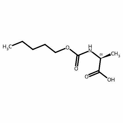 CCCCCOC(=O)N[C@@H](C)C(=O)O